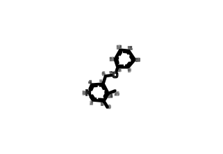 Cc1cncc(COc2ccccc2)c1C